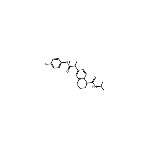 CC(C)NC(=O)N1CCCc2cc(C(C)C(=O)Nc3ccc(F)cc3)ccc21